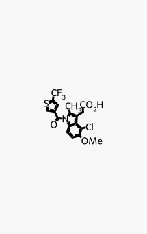 COc1ccc2c(c1Cl)c(CC(=O)O)c(C)n2C(=O)c1csc(C(F)(F)F)c1